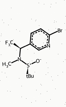 CN([C@H](c1ccc(Br)nc1)C(F)(F)F)[S@@+]([O-])C(C)(C)C